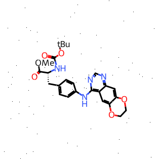 COC(=O)[C@@H](Cc1ccc(Nc2ncnc3cc4c(cc23)OCCO4)cc1)NC(=O)OC(C)(C)C